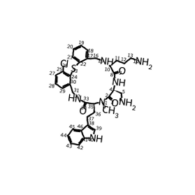 CN1C(=O)[C@H](CN)NC(=O)[C@H](CCCN)NCc2ccccc2Sc2c(Cl)cccc2CNC(=O)[C@@H]1CCc1c[nH]c2ccccc12